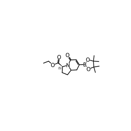 CCOC(=O)[C@@H]1CCC2CC(B3OC(C)(C)C(C)(C)O3)=CC(=O)N21